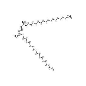 CCCCCCCCCCCCCCCCCCC(C)C[B]CC(C)CCCCCCCCCCCCCCCCCC